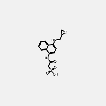 O=C(CS(=O)(=O)O)Nc1ccc(NCC2CO2)c2ccccc12